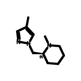 Cc1cnn(C[C@@H]2CCCCN2C)c1